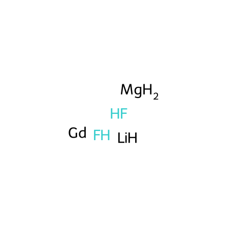 F.F.[Gd].[LiH].[MgH2]